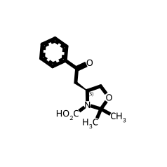 CC1(C)OC[C@H](CC(=O)c2ccccc2)N1C(=O)O